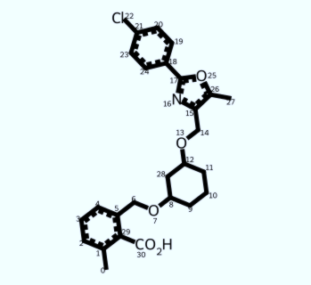 Cc1cccc(COC2CCCC(OCc3nc(-c4ccc(Cl)cc4)oc3C)C2)c1C(=O)O